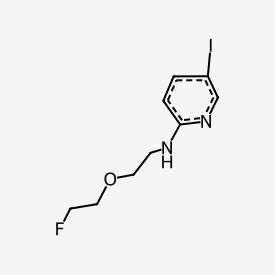 FCCOCCNc1ccc(I)cn1